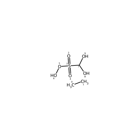 CC.O=S(=O)(OO)C(O)O